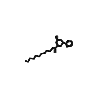 CCCCCCCCCCCNC1=CC(=O)CC(c2ccccc2)C1